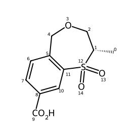 C[C@H]1COCc2ccc(C(=O)O)cc2S1(=O)=O